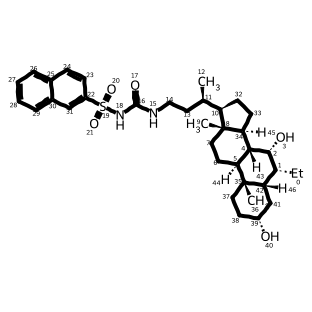 CC[C@H]1[C@@H](O)[C@@H]2[C@H](CC[C@]3(C)[C@@H]([C@H](C)CCNC(=O)NS(=O)(=O)c4ccc5ccccc5c4)CC[C@@H]23)[C@@]2(C)CC[C@@H](O)C[C@@H]12